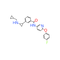 O=C(Nc1ccc(Oc2ccc(F)cc2)nc1)c1cccc(C2CC2NCC2CC2)c1